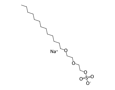 CCCCCCCCCCCCCOCCOCCOS(=O)(=O)[O-].[Na+]